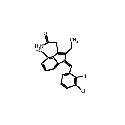 CCC1=C(CC(N)=O)c2c(O)cccc2/C1=C\c1cccc(Cl)c1Cl